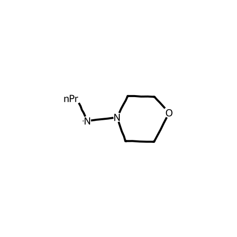 CCC[N]N1CCOCC1